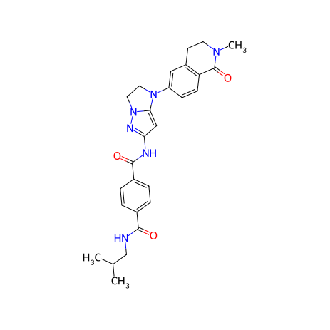 CC(C)CNC(=O)c1ccc(C(=O)Nc2cc3n(n2)CCN3c2ccc3c(c2)CCN(C)C3=O)cc1